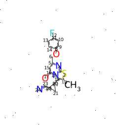 Cc1sc2nc(COc3ccc(F)cc3)cc(=O)n2c1[C@H]1C[C@H]1C#N